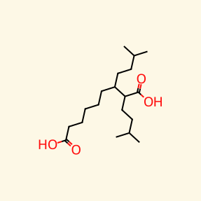 CC(C)CCC(CCCCCC(=O)O)C(CCC(C)C)C(=O)O